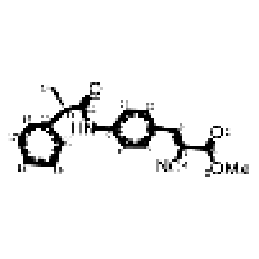 COC(=O)/C(C#N)=C/c1ccc(NC(=O)[C@H](C)c2ccccc2)cc1